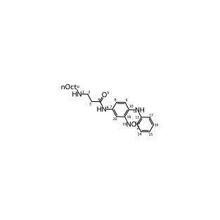 CCCCCCCCNCCC(=O)Nc1ccc(Nc2ccccc2)c([N+](=O)[O-])c1